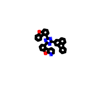 c1ccc2c(c1)-c1cccc3cc(-c4nc(-c5cccc6oc7ccccc7c56)nc(-c5cccc6oc7ncccc7c56)n4)cc-2c13